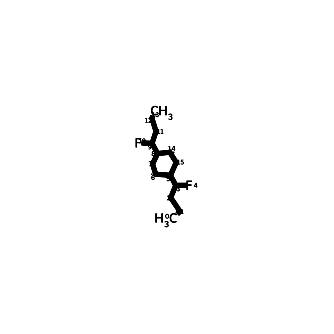 CCCC(F)C1[CH]CC(C(F)CCC)[CH]C1